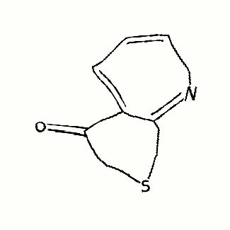 O=C1CSCc2ncccc21